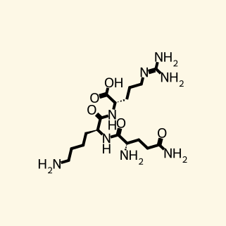 NCCCC[C@H](NC(=O)[C@@H](N)CCC(N)=O)C(=O)N[C@@H](CCCN=C(N)N)C(=O)O